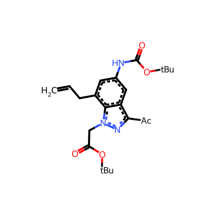 C=CCc1cc(NC(=O)OC(C)(C)C)cc2c(C(C)=O)nn(CC(=O)OC(C)(C)C)c12